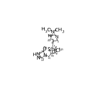 CN(C)c1ncc(-c2ccc(Cn3cn[nH]c3=O)s2)cn1.Cl